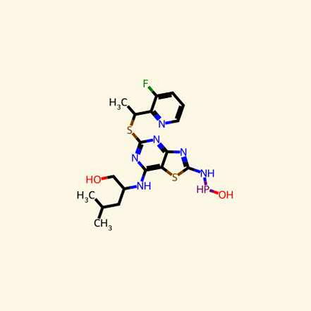 CC(C)CC(CO)Nc1nc(SC(C)c2ncccc2F)nc2nc(NPO)sc12